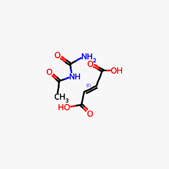 CC(=O)NC(N)=O.O=C(O)/C=C/C(=O)O